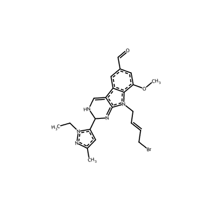 CCn1nc(C)cc1C1N=c2c(c3cc(C=O)cc(OC)c3n2C/C=C/CBr)=CN1